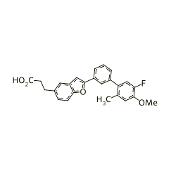 COc1cc(C)c(-c2cccc(-c3cc4cc(CCC(=O)O)ccc4o3)c2)cc1F